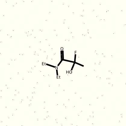 CCN(CC)C(=O)C(C)(O)F